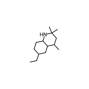 CCC1CCC2NC(C)(C)CC(C)C2C1